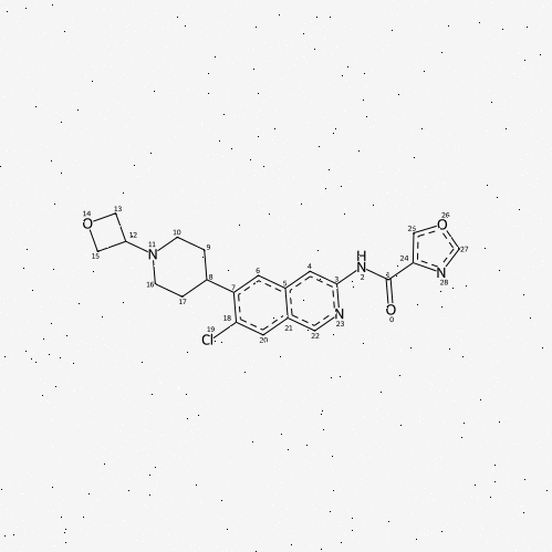 O=C(Nc1cc2cc(C3CCN(C4COC4)CC3)c(Cl)cc2cn1)c1cocn1